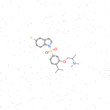 CC(C)c1ccc(S(=O)(=O)n2ccc3cc(F)ccc32)cc1OCC(C)N(C)C